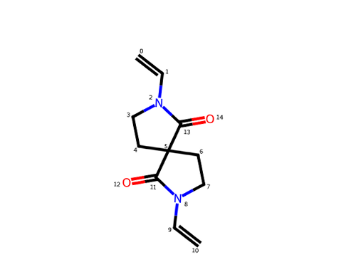 C=CN1CCC2(CCN(C=C)C2=O)C1=O